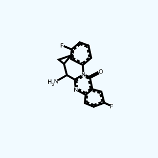 NC(c1nc2ccc(F)cc2c(=O)n1-c1cccc(F)c1)C1CC1